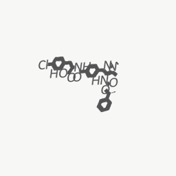 Cc1c(NC(=O)O[C@H](C)c2ccccc2)c(-c2ccc(C(=O)NC(Cc3ccc(Cl)cc3)C(=O)O)cc2)nn1C